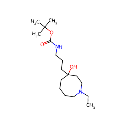 CCN1CCCCC(O)(CCCNC(=O)OC(C)(C)C)CC1